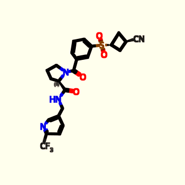 N#C[C@H]1C[C@H](S(=O)(=O)c2cccc(C(=O)N3CCC[C@@H]3C(=O)NCc3ccc(C(F)(F)F)nc3)c2)C1